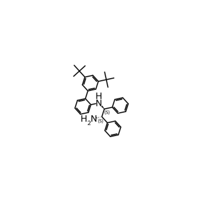 CC(C)(C)c1cc(-c2ccccc2N[C@@H](c2ccccc2)[C@@H](N)c2ccccc2)cc(C(C)(C)C)c1